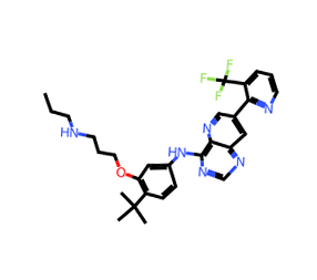 CCCNCCCOc1cc(Nc2ncnc3cc(-c4ncccc4C(F)(F)F)cnc23)ccc1C(C)(C)C